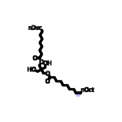 CCCCCCCC/C=C\CCCCCCCC(=O)OCC(CO)(CO)COC(=O)CCCCCCCCCCCCCCCCC